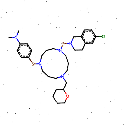 CN(C)c1ccc(SN2CCCN(CC3CCCCO3)CCCN(SN3CCc4cc(Cl)ccc4C3)CCC2)cc1